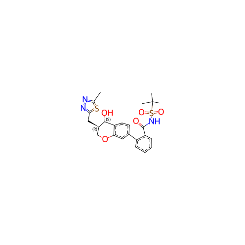 Cc1nnc(C[C@@H]2COc3cc(-c4ccccc4C(=O)NS(=O)(=O)C(C)(C)C)ccc3[C@H]2O)s1